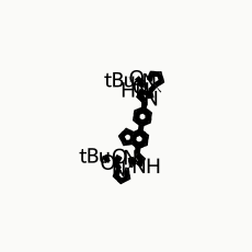 CC(C)(C)OC(=O)N1CCC[C@H]1c1nc(-c2ccc(-c3ccc(-c4c[nH]c([C@]5(C)CCCN5C(=O)OC(C)(C)C)n4)cc3)c3c2CCC3)c[nH]1